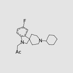 CC(=O)CN1CC2(CCN(C3CCCCC3)CC2)c2cc(F)ccc21